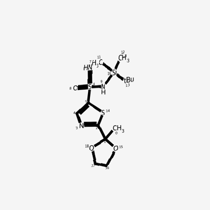 CC1(c2ncc(S(=N)(=O)N[Si](C)(C)C(C)(C)C)s2)OCCO1